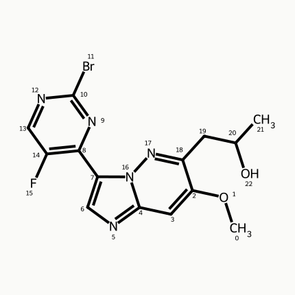 COc1cc2ncc(-c3nc(Br)ncc3F)n2nc1CC(C)O